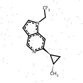 C[C@H]1C[C@@H]1c1cc2c(ccn2CC(F)(F)F)cn1